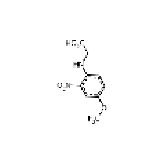 O=C(O)CNc1ccc(OC(F)(F)F)cc1[N+](=O)[O-]